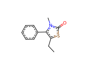 CCc1sc(=O)n(C)c1-c1ccccc1